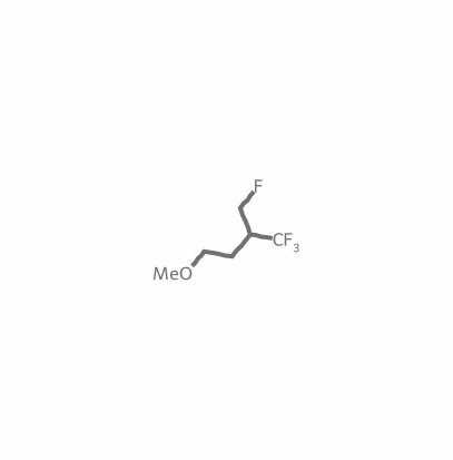 COCCC(CF)C(F)(F)F